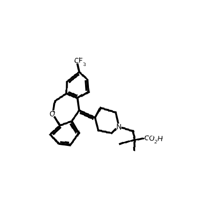 CC(C)(CN1CCC(=C2c3ccc(C(F)(F)F)cc3COc3ccccc32)CC1)C(=O)O